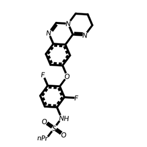 CCCS(=O)(=O)Nc1ccc(F)c(Oc2ccc3c(c2)C2=NCCCN2C=N3)c1F